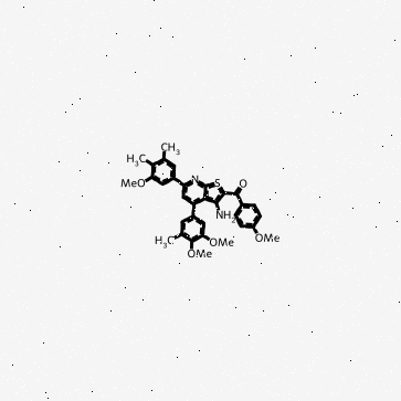 COc1ccc(C(=O)c2sc3nc(-c4cc(C)c(C)c(OC)c4)cc(-c4cc(C)c(OC)c(OC)c4)c3c2N)cc1